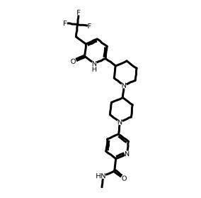 CNC(=O)c1ccc(N2CCC(N3CCCC(c4ccc(CC(F)(F)F)c(=O)[nH]4)C3)CC2)cn1